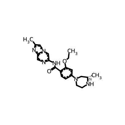 CCOc1cc(N2CCN[C@@H](C)C2)ccc1C(=O)Nc1cn2cc(C)nc2cn1